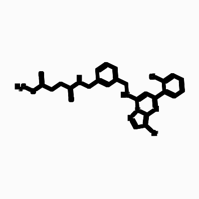 COC(=O)CCC(=O)NCc1cccc(CNc2cc(-c3ccccc3Cl)nc3c(Br)cnn23)c1